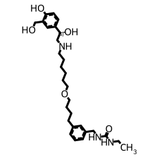 CCNC(=O)NCc1cccc(CCCCOCCCCCCNC[C@@H](O)c2ccc(O)c(CO)c2)c1